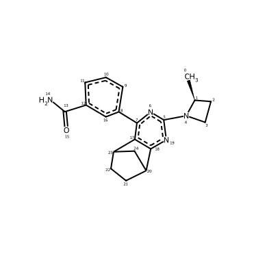 C[C@H]1CCN1c1nc(-c2cccc(C(N)=O)c2)c2c(n1)C1CCC2C1